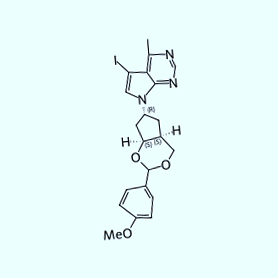 COc1ccc(C2OC[C@@H]3C[C@@H](n4cc(I)c5c(C)ncnc54)C[C@@H]3O2)cc1